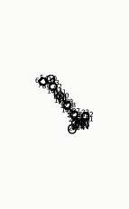 CO[C@]1(c2ccccc2)CC[C@@H](N2CCN(c3ccc(-c4ccc([N+]5(OC=O)N=Nc6ccccc65)cc4)cc3)CC2)CC1